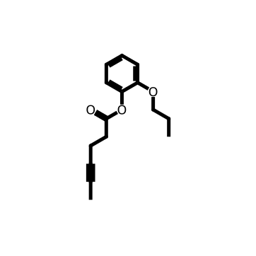 CC#CCCC(=O)Oc1ccccc1OCCC